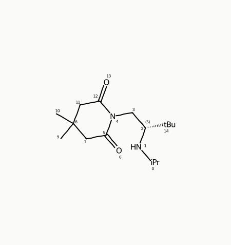 CC(C)N[C@H](CN1C(=O)CC(C)(C)CC1=O)C(C)(C)C